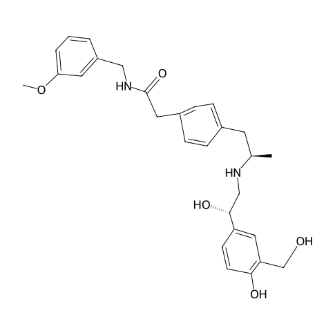 COc1cccc(CNC(=O)Cc2ccc(C[C@@H](C)NC[C@@H](O)c3ccc(O)c(CO)c3)cc2)c1